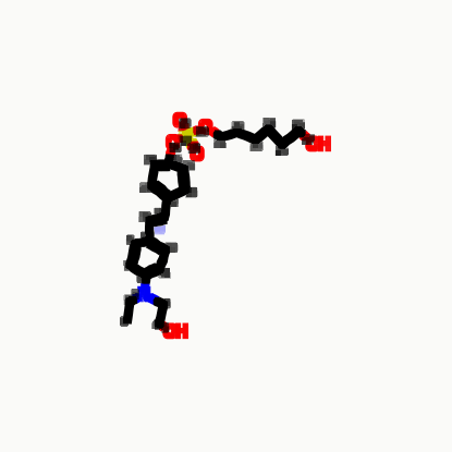 CCN(CCO)c1ccc(/C=C/c2ccc(OS(=O)(=O)OCCCCCCO)cc2)cc1